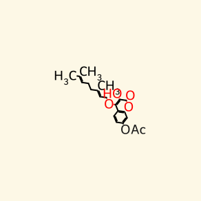 CC(=O)Oc1ccc2c(OC/C=C(\C)CCC=C(C)C)c(O)c(=O)oc2c1